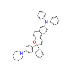 C1=CC(c2ccccc2)(c2ccc(N3CCCCCC3)cc2)Oc2ccc3cc(N(c4ccccc4)c4ccccc4)ccc3c21